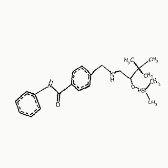 C[SiH](C)OC(CNCc1ccc(C(=O)Nc2ccccc2)cc1)C(C)(C)C